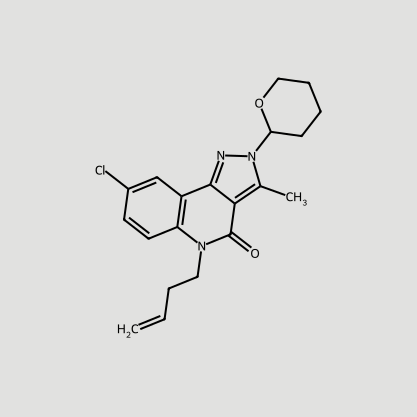 C=CCCn1c(=O)c2c(C)n(C3CCCCO3)nc2c2cc(Cl)ccc21